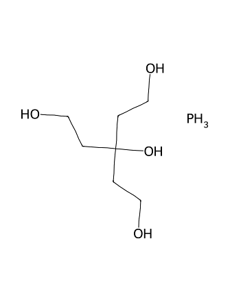 OCCC(O)(CCO)CCO.P